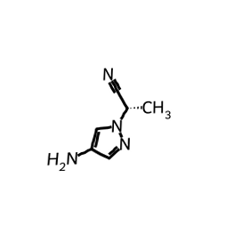 C[C@@H](C#N)n1cc(N)cn1